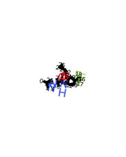 Cc1cnn(C(C)(C)C(=O)Nc2ccc(C(F)(F)F)cc2OCC2CC2)c1